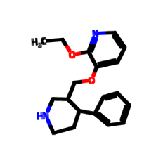 CCOc1ncccc1OCC1CNCCC1c1ccccc1